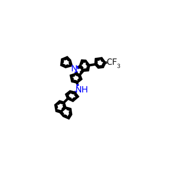 FC(F)(F)c1ccc(-c2ccc3c(c2)c2cc(Nc4ccc(-c5cccc6ccccc56)cc4)ccc2n3-c2ccccc2)cc1